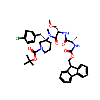 COC[C@H](NC(=O)[C@H](C)NC(=O)OCC1c2ccccc2-c2ccccc21)C(=O)N(C)[C@@]1(Cc2ccc(Cl)cc2)CCCN(C(=O)OC(C)(C)C)C1